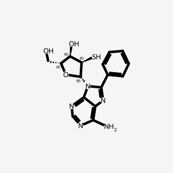 Nc1ncnc2c1nc(-c1ccccc1)n2[C@@H]1O[C@H](CO)[C@@H](O)[C@H]1S